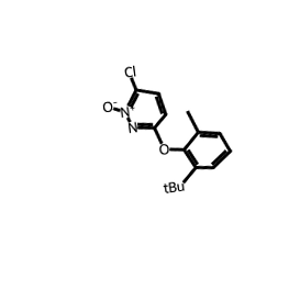 Cc1cccc(C(C)(C)C)c1Oc1ccc(Cl)[n+]([O-])n1